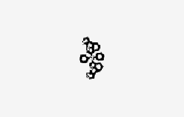 c1ccc([Si](c2ccccc2)(c2cn3c4sccc4c4cccc2c43)c2cn3c4sccc4c4cccc2c43)cc1